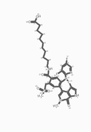 Cn1cc2c3c(c[nH]c3c1=O)CN(c1ncc(F)cc1F)c1cc(C(=O)NCCCCCCCCCCC(=O)O)c(CS(C)(=O)=O)cc1-2